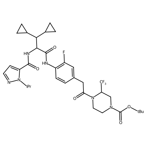 CC(C)n1nccc1C(=O)NC(C(=O)Nc1ccc(CC(=O)N2CCN(C(=O)OC(C)(C)C)CC2C(F)(F)F)cc1F)C(C1CC1)C1CC1